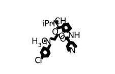 CC(C)N(C)C(=O)c1cccc(NC(=O)c2ccncc2)c1OCCCN(C)Cc1ccc(Cl)cc1